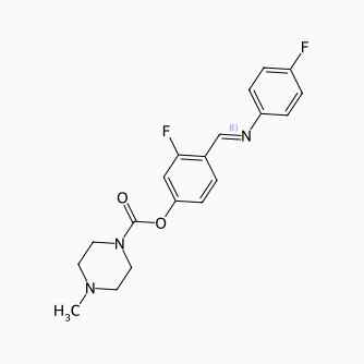 CN1CCN(C(=O)Oc2ccc(/C=N/c3ccc(F)cc3)c(F)c2)CC1